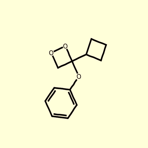 c1ccc(OC2(C3CCC3)COO2)cc1